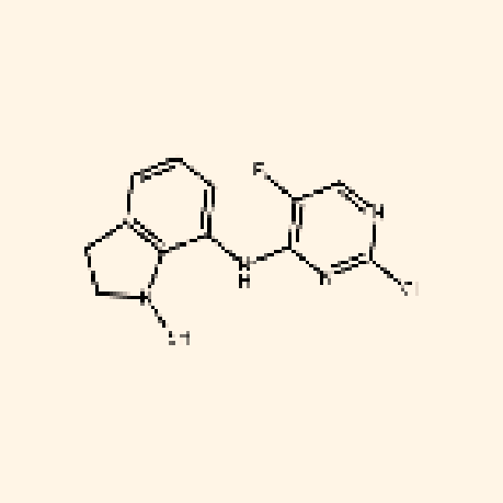 Fc1cnc(Cl)nc1Nc1cccc2c1N(S)CC2